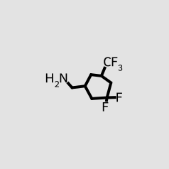 NCC1CC(C(F)(F)F)CC(F)(F)C1